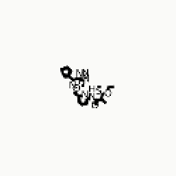 CCOC(SC)C(C)C(=O)Nc1cccc(CO/N=C(/c2ccccc2)c2nnnn2C)n1